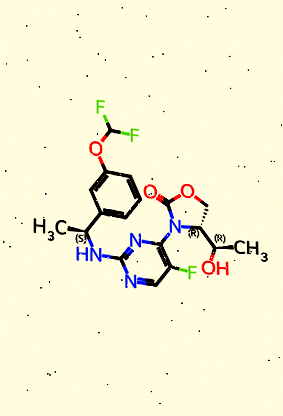 C[C@H](Nc1ncc(F)c(N2C(=O)OC[C@@H]2[C@@H](C)O)n1)c1cccc(OC(F)F)c1